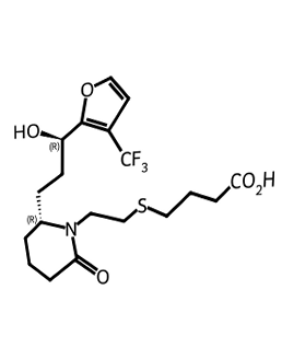 O=C(O)CCCSCCN1C(=O)CCC[C@@H]1CC[C@@H](O)c1occc1C(F)(F)F